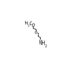 COCCOCCCN